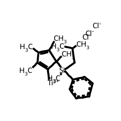 CC1=C(C)C(C)([Si](C)(CC(C)C)c2ccccc2)[C]([Ti+3])=C1C.[Cl-].[Cl-].[Cl-]